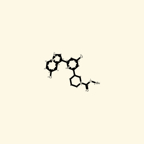 CC(C)(C)OC(=O)N1CCCC(c2cc(Cl)cc(-c3cnn4ccc(Cl)cc34)n2)C1